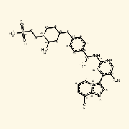 C[C@H](Nc1ncc(C#N)c(-c2cnc3c(Cl)cccn23)n1)c1ccc(CC2CCN(CCS(C)(=O)=O)C(O)C2)cc1